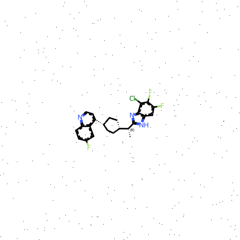 C[C@@H](c1nc2c(Cl)c(F)c(F)cc2[nH]1)[C@H]1CC[C@@H](c2ccnc3ccc(F)cc32)CC1